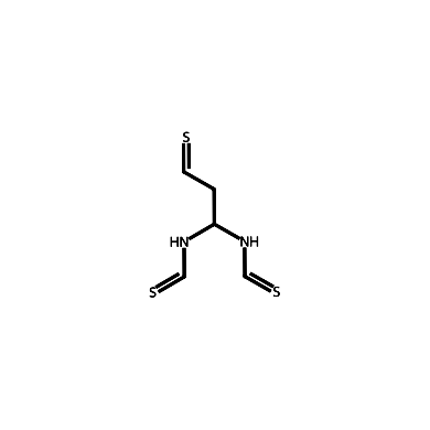 S=CCC(NC=S)NC=S